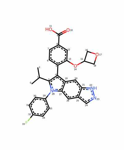 CC(C)c1c(-c2ccc(C(=O)O)cc2OC2COC2)c2cc3[nH]ncc3cc2n1-c1ccc(F)cc1